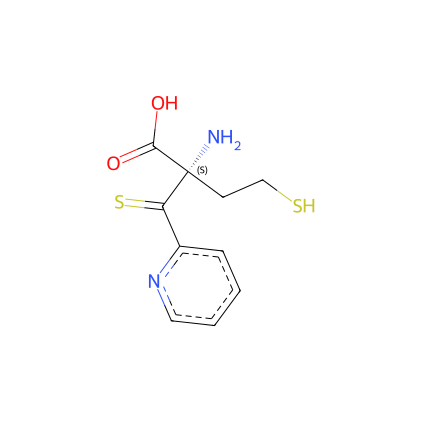 N[C@@](CCS)(C(=O)O)C(=S)c1ccccn1